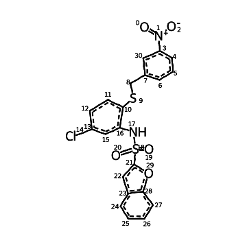 O=[N+]([O-])c1cccc(CSc2ccc(Cl)cc2NS(=O)(=O)c2cc3ccccc3o2)c1